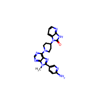 Cn1c(-c2ccc(N)nc2)nc2c(N3CCC(n4c(=O)[nH]c5ncccc54)CC3)ncnc21